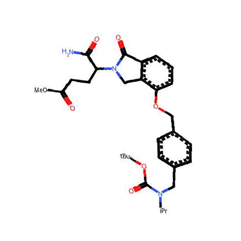 COC(=O)CCC(C(N)=O)N1Cc2c(OCc3ccc(CN(C(=O)OC(C)(C)C)C(C)C)cc3)cccc2C1=O